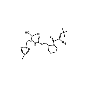 Cc1ccc(C[C@H](NC(=O)OCC2CCCCN2C(=O)C(C#N)=CC(C)(C)C)B(O)O)cc1